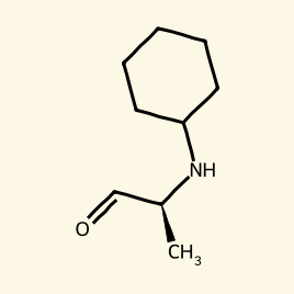 C[C@@H](C=O)NC1CCCCC1